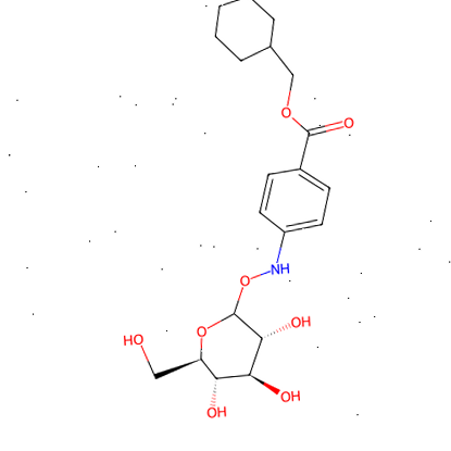 O=C(OCC1CCCCC1)c1ccc(NOC2O[C@H](CO)[C@@H](O)[C@H](O)[C@H]2O)cc1